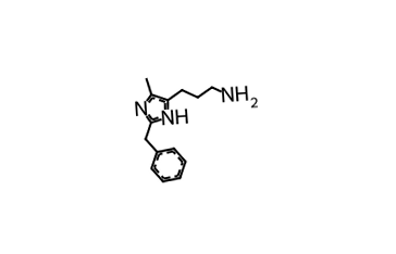 Cc1nc(Cc2ccccc2)[nH]c1CCCN